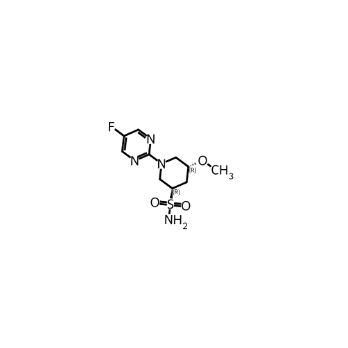 CO[C@@H]1C[C@@H](S(N)(=O)=O)CN(c2ncc(F)cn2)C1